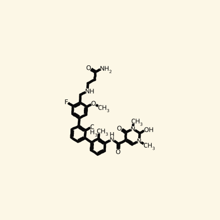 COc1cc(-c2cccc(-c3cccc(NC(=O)C4=CN(C)C(O)N(C)C4=O)c3C)c2C)cc(F)c1CNCCC(N)=O